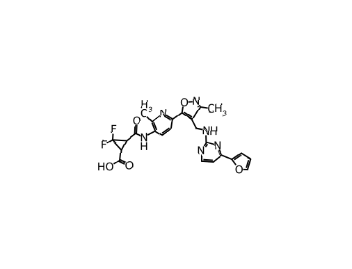 Cc1nc(-c2onc(C)c2CNc2nccc(-c3ccco3)n2)ccc1NC(=O)C1C(C(=O)O)C1(F)F